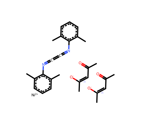 CC(=O)/C=C(/C)[O-].CC(=O)/C=C(/C)[O-].Cc1cccc(C)c1N=C=C=Nc1c(C)cccc1C.[Ni+2]